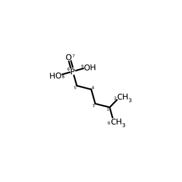 CC(C)CCCP(=O)(O)O